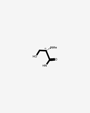 CN[C@@H](CO)C([NH])=O